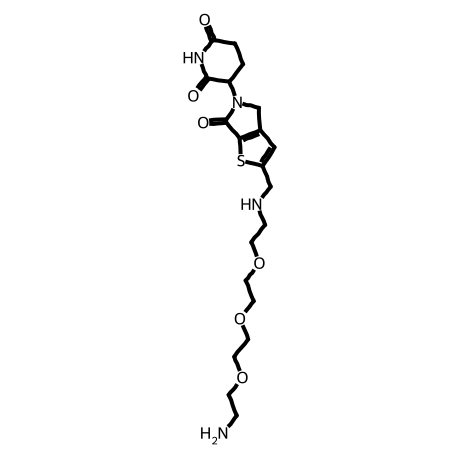 NCCOCCOCCOCCNCc1cc2c(s1)C(=O)N(C1CCC(=O)NC1=O)C2